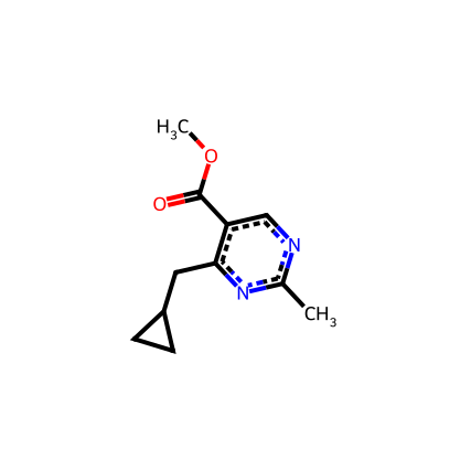 COC(=O)c1cnc(C)nc1CC1CC1